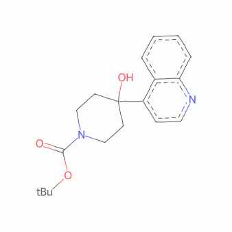 CC(C)(C)OC(=O)N1CCC(O)(c2ccnc3ccccc23)CC1